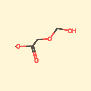 [O]C(=O)COCO